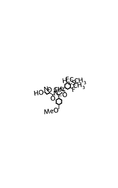 COCc1ccc([C@H](C(=O)Nc2cc(F)c(S(C)(C)C)c(F)c2)N(C)C(=O)c2cc(O)no2)cc1